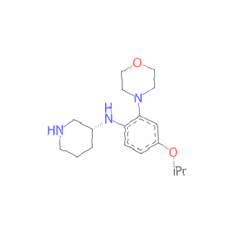 CC(C)Oc1ccc(N[C@@H]2CCCNC2)c(N2CCOCC2)c1